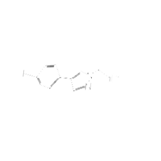 CC(C)Cn1cc(-c2ccc(I)cc2)cn1